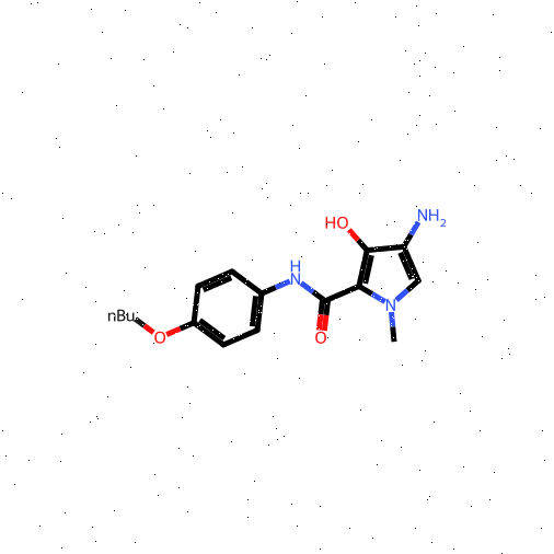 CCCCOc1ccc(NC(=O)c2c(O)c(N)cn2C)cc1